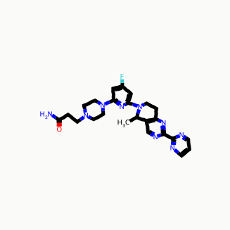 CC1c2cnc(-c3ncccn3)nc2CCN1c1cc(F)cc(N2CCN(CCC(N)=O)CC2)n1